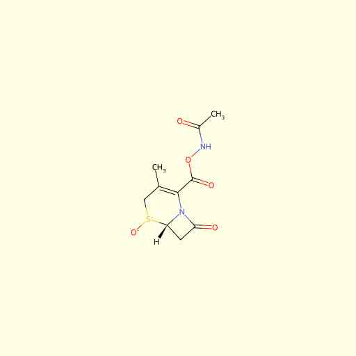 CC(=O)NOC(=O)C1=C(C)C[S+]([O-])[C@H]2CC(=O)N12